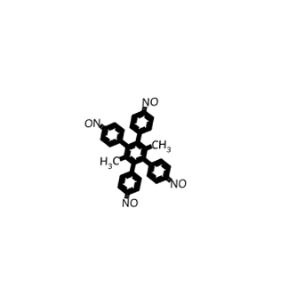 Cc1c(-c2ccc(N=O)cc2)c(-c2ccc(N=O)cc2)c(C)c(-c2ccc(N=O)cc2)c1-c1ccc(N=O)cc1